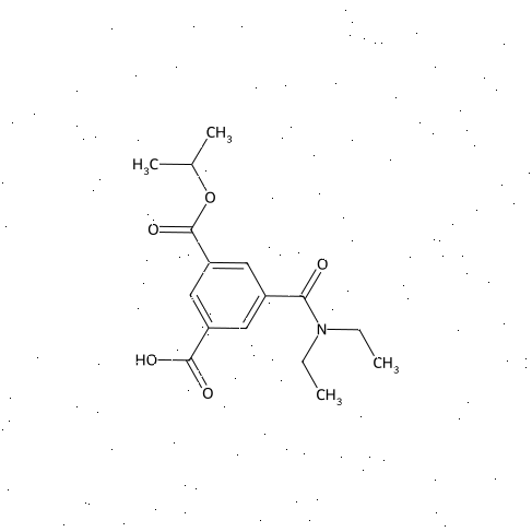 CCN(CC)C(=O)c1cc(C(=O)O)cc(C(=O)OC(C)C)c1